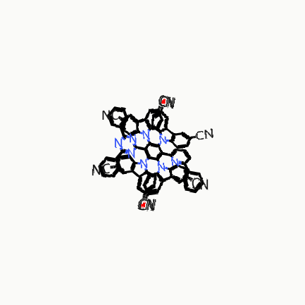 N#Cc1ccc2c(c1)c1cc(C#N)ccc1n2-c1c(-c2cccc(-c3ccccc3)n2)c(-n2c3ccc(C#N)cc3c3cc(C#N)ccc32)c(-n2c3ccc(C#N)cc3c3cc(C#N)ccc32)c(-c2nc(-c3ccccc3)nc(-c3ccccc3)n2)c1-n1c2ccc(C#N)cc2c2cc(C#N)ccc21